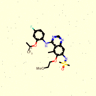 COCCOc1c(N=S(C)(C)=O)cc2ncnc(Nc3ccc(F)cc3O[C@H](C)C(F)(F)F)c2c1C